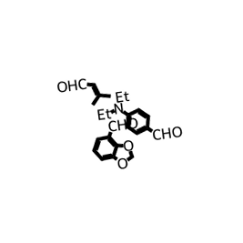 CC(C)=CC=O.CCN(CC)c1ccc(C=O)cc1.O=Cc1cccc2c1OCO2